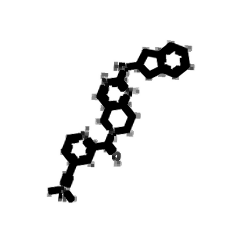 C[SH](C)#Cc1ccnc(C(=O)N2CCc3nc(NC4Cc5ccccc5C4)ncc3C2)c1